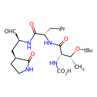 CC(C)C[C@H](NC(=O)[C@@H](NC(=O)O)[C@@H](C)OC(C)(C)C)C(=O)N[C@H](C=O)C[C@@H]1CCNC1=O